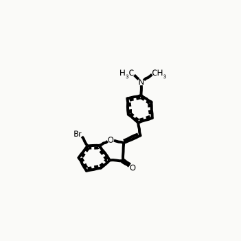 CN(C)c1ccc(/C=C2\Oc3c(Br)cccc3C2=O)cc1